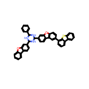 c1ccc(C2NC(c3ccc4c(c3)oc3ccccc34)NC(c3ccc4c(c3)oc3ccc(-c5cccc6c5sc5ccccc56)cc34)N2)cc1